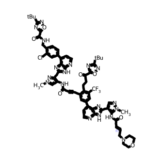 Cn1cc(NC(=O)C#Cc2cc(-c3ccnc4[nH]c(-c5cnn(C)c5NC(=O)/C=C/CN5CCOCC5)nc34)cc(C(F)(F)F)c2CCC(=O)c2nc(C(C)(C)C)no2)c(-c2nc3c(-c4ccc(CNC(=O)c5nc(C(C)(C)C)no5)c(Cl)c4)ccnc3[nH]2)n1